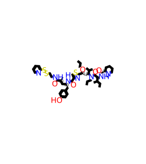 CCCO[C@H](C[C@H](C(C)C)N(CCC)C(=O)[C@@H](NC(=O)[C@H]1CCCCN1C)C(C)CC)c1nc(C(=O)N[C@@H](Cc2ccc(O)cc2)C[C@H](C)C(=O)NCCSSc2ccccn2)cs1